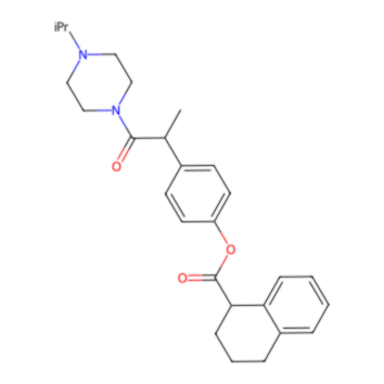 CC(C(=O)N1CCN(C(C)C)CC1)c1ccc(OC(=O)C2CCCc3ccccc32)cc1